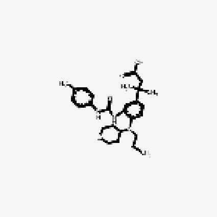 CCCN(c1ccc(C(C)(C)CC(=O)O)cc1NC(=O)Nc1ccc(C)cc1)C1CCOCC1